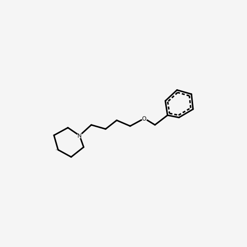 [CH]1CCN(CCCCOCc2ccccc2)CC1